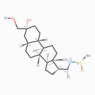 CCOC[C@@]1(O)CC[C@H]2[C@H](CC[C@@H]3[C@@H]2CC[C@]2(C)[C@@H]([C@@H](CC)N[S@+]([O-])C(C)(C)C)CC[C@@H]32)C1